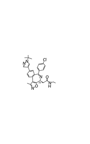 CCNC(=O)C[C@@H]1N=C(c2ccc(Cl)cc2)c2cc(-c3cnn(C(C)(C)C)c3)ccc2-c2c(C)noc21